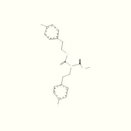 CC(C)(C)OC(=O)N(CCc1ccc(N)cc1)C(=O)NCCc1ccc(N)cc1